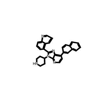 c1ccc2cc(-c3ccnc4c3nc(-c3cccc5ncccc35)n4C3CCNCC3)ccc2c1